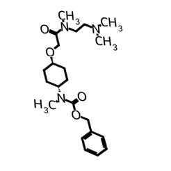 CN(C)CCN(C)C(=O)CO[C@H]1CC[C@H](N(C)C(=O)OCc2ccccc2)CC1